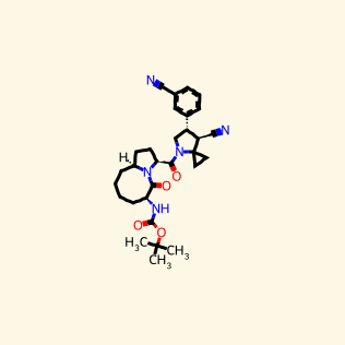 CC(C)(C)OC(=O)N[C@H]1CCCC[C@H]2CC[C@@H](C(=O)N3C[C@H](c4cccc(C#N)c4)[C@@H](C#N)C34CC4)N2C1=O